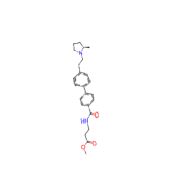 COC(=O)CCNC(=O)c1ccc(-c2ccc(CCN3CCC[C@H]3C)cc2)cc1